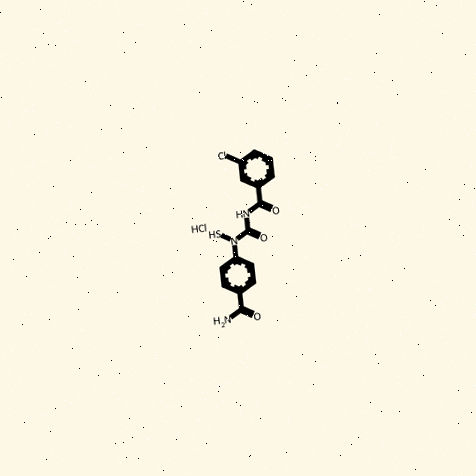 Cl.NC(=O)c1ccc(N(S)C(=O)NC(=O)c2cccc(Cl)c2)cc1